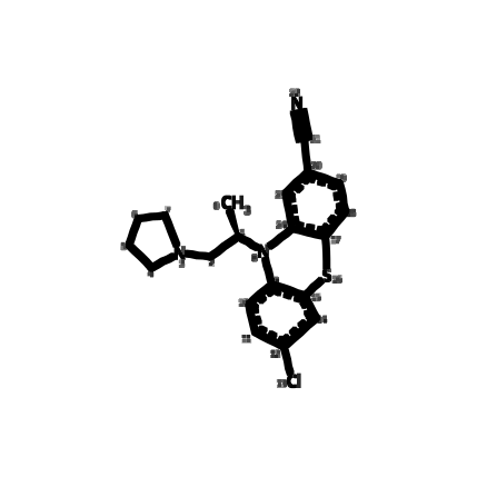 C[C@H](CN1CCCC1)N1c2ccc(Cl)cc2Sc2ccc(C#N)cc21